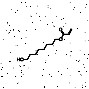 C=CC(=O)OCCCCCCCCO